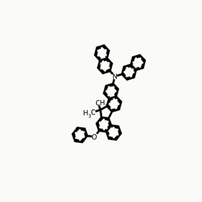 CC1(C)c2cc(Oc3ccccc3)c3ccccc3c2-c2ccc3cc(N(c4ccc5ccccc5c4)c4ccc5ccccc5c4)ccc3c21